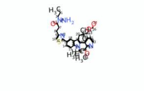 CCCN(N)C(=O)CCc1csc(-c2ccc3c(c2)c(CC(C)(C)COC=O)c(-c2cccnc2[C@H](C)OC)n3CC)n1